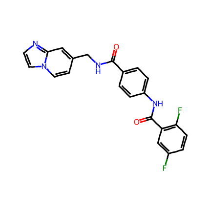 O=C(NCc1ccn2ccnc2c1)c1ccc(NC(=O)c2cc(F)ccc2F)cc1